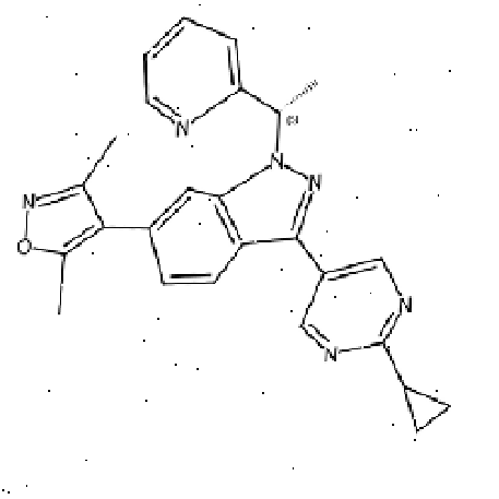 Cc1noc(C)c1-c1ccc2c(-c3cnc(C4CC4)nc3)nn([C@@H](C)c3ccccn3)c2c1